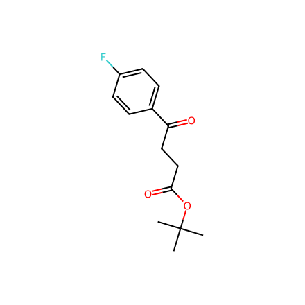 CC(C)(C)OC(=O)CCC(=O)c1ccc(F)cc1